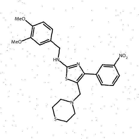 COc1ccc(CNc2nc(-c3cccc([N+](=O)[O-])c3)c(CN3CCSCC3)s2)cc1OC